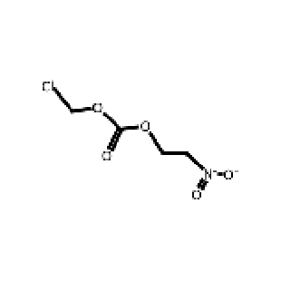 O=C(OCCl)OCC[N+](=O)[O-]